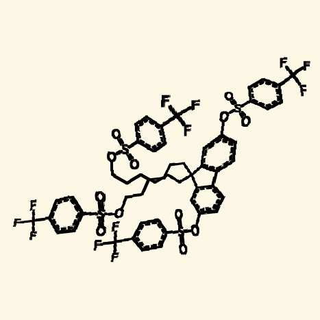 O=S(=O)(OCCCCCCC1(CCCCCCOS(=O)(=O)c2ccc(C(F)(F)F)cc2)c2cc(OS(=O)(=O)c3ccc(C(F)(F)F)cc3)ccc2-c2ccc(OS(=O)(=O)c3ccc(C(F)(F)F)cc3)cc21)c1ccc(C(F)(F)F)cc1